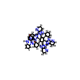 CN1c2ccccc2N(c2cccc(-c3c(-c4nc5cccnc5n4C)c(-c4nc5cccnc5n4C)c(-c4ccccc4)c(-c4nc5cccnc5n4C)c3-c3nc4cccnc4n3C)c2)c2ccccc21